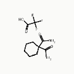 NC(=O)C1(C(N)=O)CCCCC1.O=C(O)C(F)(F)F